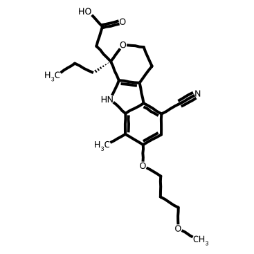 CCC[C@]1(CC(=O)O)OCCc2c1[nH]c1c(C)c(OCCCOC)cc(C#N)c21